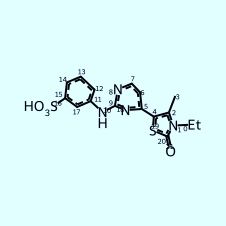 CCn1c(C)c(-c2ccnc(Nc3cccc(S(=O)(=O)O)c3)n2)sc1=O